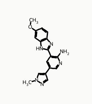 COc1ccc2nc(-c3cc(-c4cnn(C)c4)cnc3N)[nH]c2c1